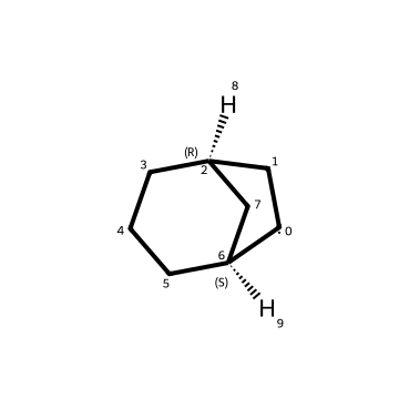 [CH]1C[C@@H]2CCC[C@H]1C2